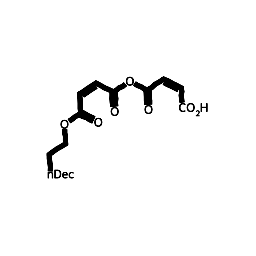 CCCCCCCCCCCCOC(=O)/C=C\C(=O)OC(=O)/C=C\C(=O)O